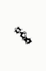 O=C(Cc1nc2ncccc2[nH]1)N1CCOCC1